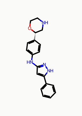 c1ccc(-c2cc(Nc3ccc([C@H]4CNCCO4)cc3)n[nH]2)cc1